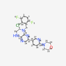 Fc1ccc(F)c(CN2CCNc3ncc(-c4ccc(N5CCOCC5)nc4)nc32)c1Cl